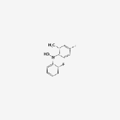 Cc1cc(I)ccc1N(O)c1ccccc1F